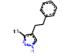 CCc1n[nH][c]c1CCc1ccccc1